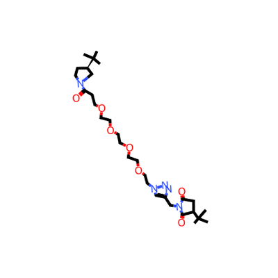 CC(C)(C)C1CC(=O)N(Cc2cn(CCOCCOCCOCCOCCC(=O)N3CC[C@@H](C(C)(C)C)C3)nn2)C1=O